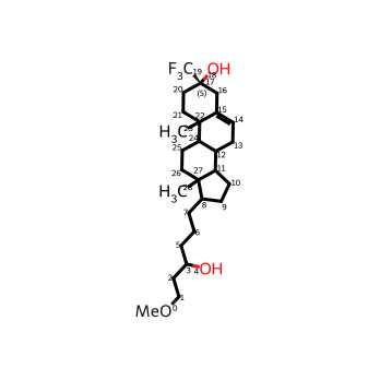 COCCC(O)CCCC1CCC2C3CC=C4C[C@](O)(C(F)(F)F)CCC4(C)C3CCC12C